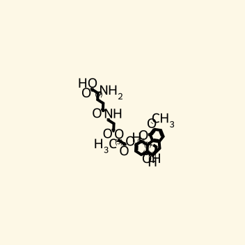 COc1ccc2c3c1O[C@@H]1C(OC(=O)[C@H](C)OC(=O)CCNC(=O)CC[C@H](N)C(=O)O)=CC[C@]4(O)[C@@H](CCC[C@@]314)C2